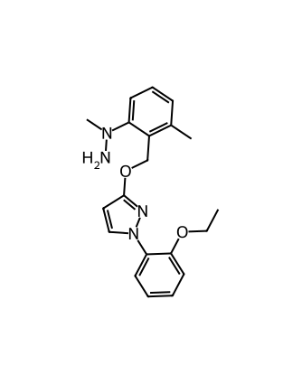 CCOc1ccccc1-n1ccc(OCc2c(C)cccc2N(C)N)n1